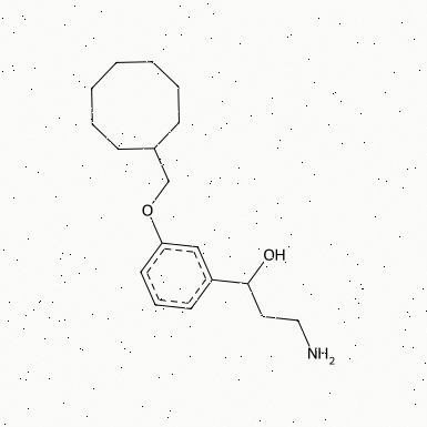 NCCC(O)c1cccc(OCC2CCCCCCC2)c1